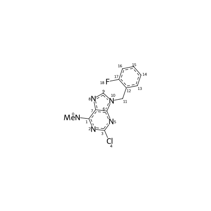 CNc1nc(Cl)nc2c1ncn2Cc1ccccc1F